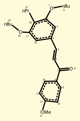 CCCCOc1cc(C=CC(=O)c2ccc(OC)cc2)cc(OCCCC)c1CCC